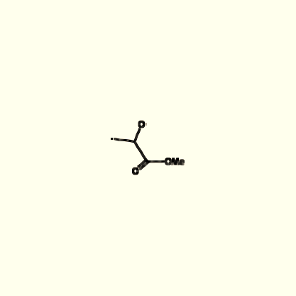 [CH2]C([O])C(=O)OC